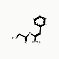 O=C(CO)OC(=Cc1ccccc1)C(=O)O